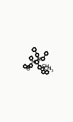 CC1(C)c2cc(-c3cc(N(c4ccc(-c5ccccc5)cc4)c4cccc(-c5ccccc5)c4)cc(N(c4ccccc4)c4ccc5oc6ccccc6c5c4)c3)ccc2-c2ccc3ccccc3c21